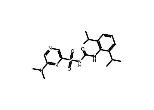 CC(C)c1cccc(C(C)C)c1NC(=O)NS(=O)(=O)c1cncc(N(C)C)n1